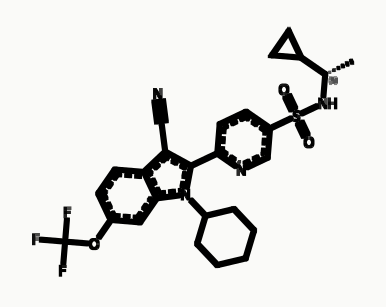 C[C@H](NS(=O)(=O)c1ccc(-c2c(C#N)c3ccc(OC(F)(F)F)cc3n2C2CCCCC2)nc1)C1CC1